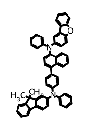 CC1(C)c2ccccc2-c2ccc(N(c3ccccc3)c3ccc(-c4ccc(N(c5ccccc5)c5ccc6oc7ccccc7c6c5)c5ccccc45)cc3)cc21